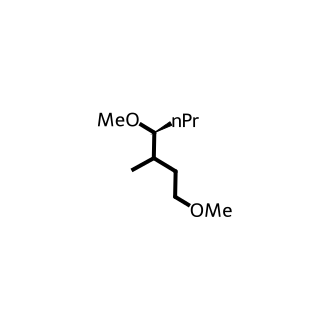 C[CH]C[C@H](OC)C(C)CCOC